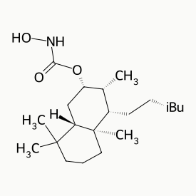 CC[C@@H](C)CC[C@H]1[C@@H](C)[C@@H](OC(=O)NO)C[C@H]2C(C)(C)CCC[C@]12C